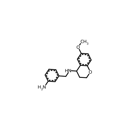 COc1ccc2c(c1)C(NCc1cccc(N)c1)CCO2